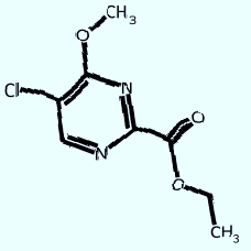 CCOC(=O)c1ncc(Cl)c(OC)n1